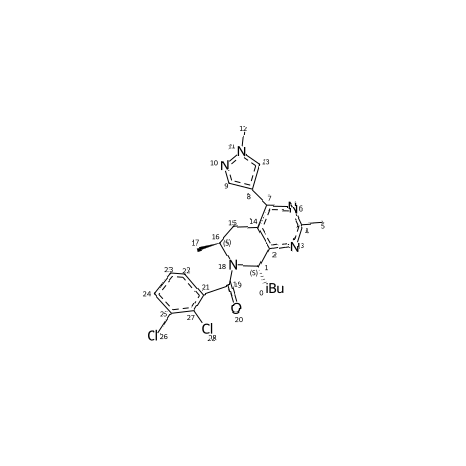 CCC(C)[C@H]1c2nc(C)nc(-c3cnn(C)c3)c2C[C@H](C)N1C(=O)c1cccc(Cl)c1Cl